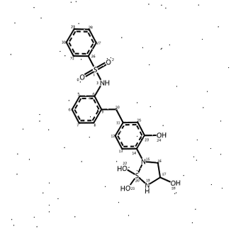 O=S(=O)(Nc1ccccc1Cc1ccc(N2CC(O)NS2(O)O)c(O)c1)c1ccccc1